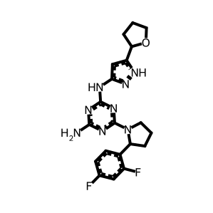 Nc1nc(Nc2cc(C3CCCO3)[nH]n2)nc(N2CCCC2c2ccc(F)cc2F)n1